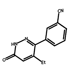 CCc1cc(=O)[nH]nc1-c1cccc(C#N)c1